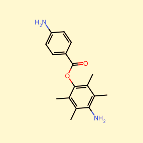 Cc1c(C)c(OC(=O)c2ccc(N)cc2)c(C)c(C)c1N